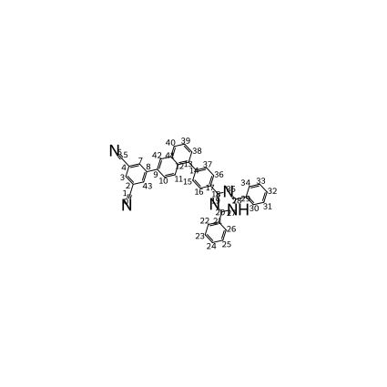 N#Cc1cc(C#N)cc(-c2ccc3c(-c4ccc(C5=NC(c6ccccc6)NC(c6ccccc6)=N5)cc4)cccc3c2)c1